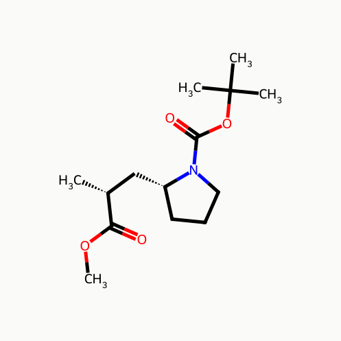 COC(=O)[C@H](C)C[C@H]1CCCN1C(=O)OC(C)(C)C